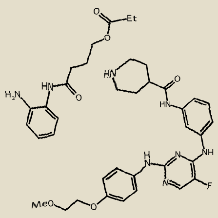 CCC(=O)OCCCC(=O)Nc1ccccc1N.COCCOc1ccc(Nc2ncc(F)c(Nc3cccc(NC(=O)C4CCNCC4)c3)n2)cc1